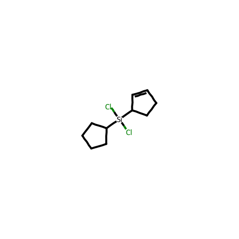 Cl[Si](Cl)(C1C=CCC1)C1CCCC1